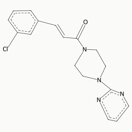 O=C(C=Cc1cccc(Cl)c1)N1CCN(c2ncccn2)CC1